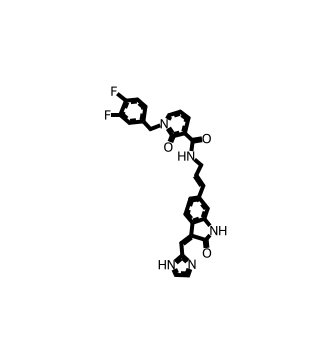 O=C1Nc2cc(/C=C/CNC(=O)c3cccn(Cc4ccc(F)c(F)c4)c3=O)ccc2/C1=C/c1ncc[nH]1